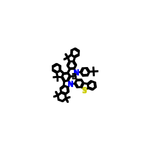 CC(C)(C)c1ccc(N2B3c4cc5c(cc4-n4c6cc7c(cc6c6c8c(c(c3c64)-c3cc4c(cc32)-c2ccccc2C4(C)C)-c2ccccc2C8(C)C)C(C)(C)CCC7(C)C)sc2ccccc25)cc1